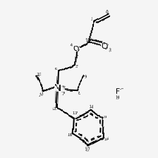 C=CC(=O)OCC[N+](CC)(CC)Cc1ccccc1.[F-]